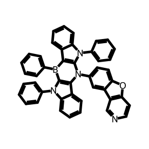 c1ccc(B2c3c(n(-c4ccccc4)c4ccccc34)N(c3ccc4oc5ccncc5c4c3)c3c2n(-c2ccccc2)c2ccccc32)cc1